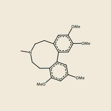 COc1cc(OC)c2c(c1)-c1cc(OC)c(OC)cc1CCN(C)CC2